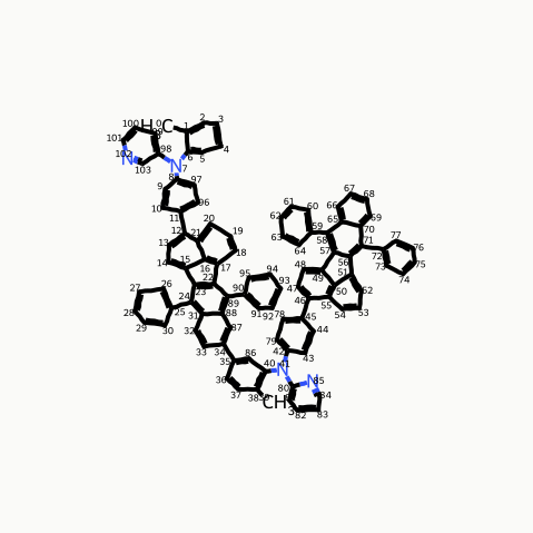 Cc1ccccc1N(c1ccc(-c2ccc3c4c(cccc24)-c2c-3c(-c3ccccc3)c3ccc(-c4ccc(C)c(N(c5ccc(-c6ccc7c8c(cccc68)-c6c-7c(-c7ccccc7)c7ccccc7c6-c6ccccc6)cc5)c5ccccn5)c4)cc3c2-c2ccccc2)cc1)c1cccnc1